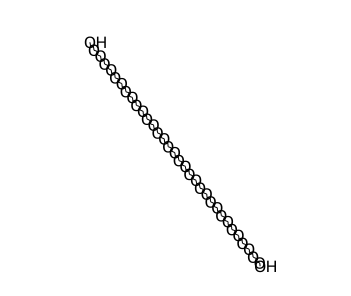 OCCOCCOCCOCCOCCOCCOCCOCCOCCOCCOCCOCCOCCOCCOCCOCCOCCOCCOCCOCCOCCOCCOCCOCCOCCOCCOCCOCCOCCOCCOCCOCCOO